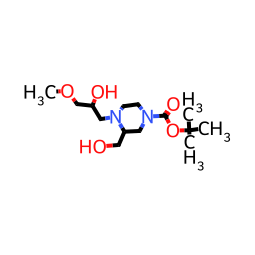 COCC(O)CN1CCN(C(=O)OC(C)(C)C)CC1CO